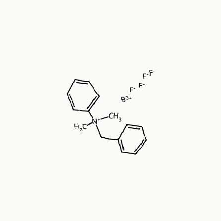 C[N+](C)(Cc1ccccc1)c1ccccc1.[B+3].[F-].[F-].[F-].[F-]